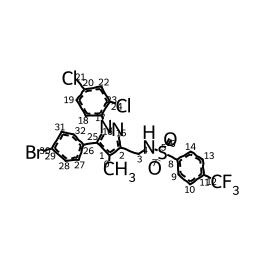 Cc1c(CNS(=O)(=O)c2ccc(C(F)(F)F)cc2)nn(-c2ccc(Cl)cc2Cl)c1-c1ccc(Br)cc1